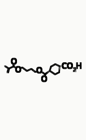 C=C(C)C(=O)OCCCCOC(=O)[C@H]1CC[C@H](C(=O)O)CC1